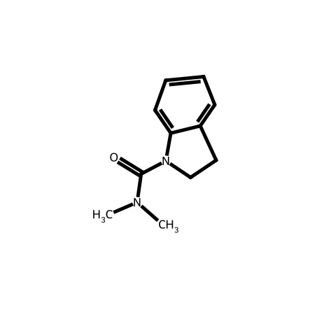 CN(C)C(=O)N1CCc2ccccc21